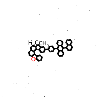 CC1(C)c2cc(-c3ccc(-c4c5ccccc5c(-c5cccc6ccccc56)c5ccccc45)cc3)ccc2-c2c1ccc1ccc3oc4ccccc4c3c21